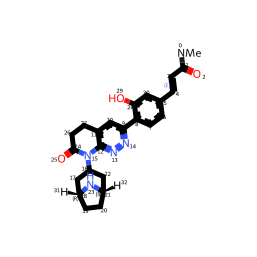 CNC(=O)/C=C/c1ccc(-c2cc3c(nn2)N(C2C[C@H]4CC[C@@H](C2)N4)C(=O)CC3)c(O)c1